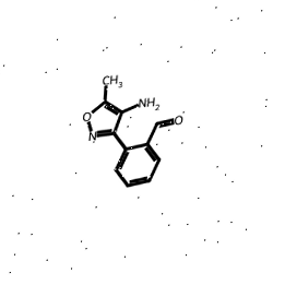 Cc1onc(-c2ccccc2C=O)c1N